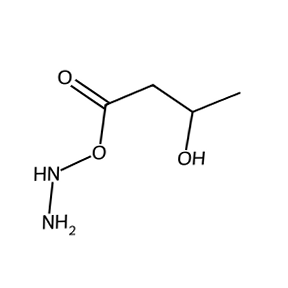 CC(O)CC(=O)ONN